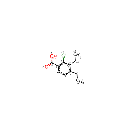 CCc1ccc(C(=O)O)c(Cl)c1CC